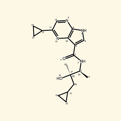 C[C@H](NC(=O)c1c[nH]c2ncc(C3CC3)nc12)[C@](C)(O)CC1CC1